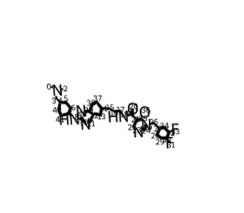 CN(C)Cc1ccc(Nc2ncc3cc(CCCNC(=O)c4cncn(Cc5ccc(F)c(F)c5)c4=O)ccc3n2)cc1